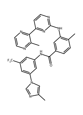 Cc1cn(-c2cc(NC(=O)c3ccc(C)c(Nc4nccc(-c5nccnc5C)n4)c3)cc(C(F)(F)F)c2)cn1